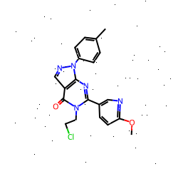 COc1ccc(-c2nc3c(cnn3-c3ccc(C)cc3)c(=O)n2CCCl)cn1